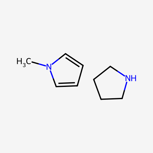 C1CCNC1.Cn1cccc1